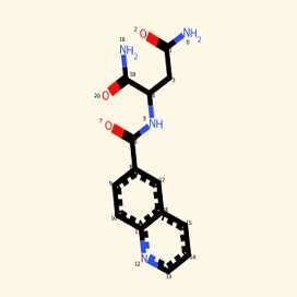 NC(=O)CC(NC(=O)c1ccc2ncccc2c1)C(N)=O